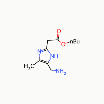 CCCCOC(=O)Cc1nc(C)c(CN)[nH]1